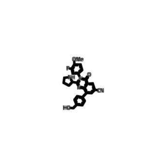 COc1ccc(-n2c(C3CCCN3)nc3c(-c4ccc(CO)cc4)cc(C#N)cc3c2=O)cc1F